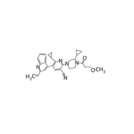 C=Cc1cc(-c2cc(C#N)c(N3CCN(C(=O)CCOC)C(C4CC4)C3)nc2C2CC2)c2ccccc2n1